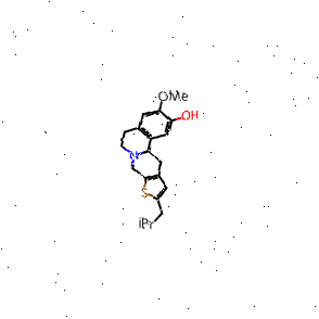 COc1cc2c(cc1O)C1Cc3cc(CC(C)C)sc3CN1CC2